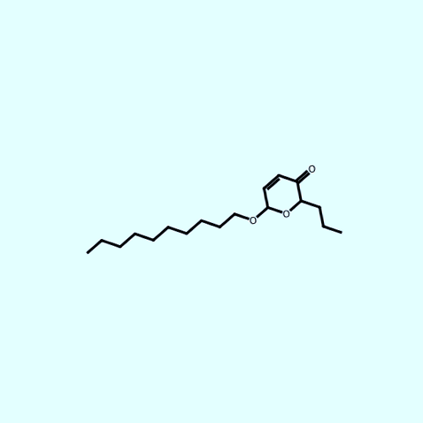 CCCCCCCCCCOC1C=CC(=O)C(CCC)O1